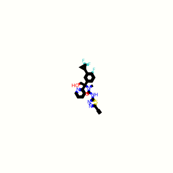 C#Cc1nnc(NC(=O)N(C)C(CO)(c2ccc(F)c(C3CC3(F)F)c2)c2ccccn2)s1